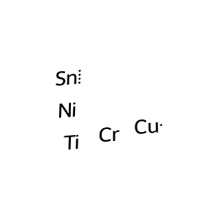 [Cr].[Cu].[Ni].[Sn].[Ti]